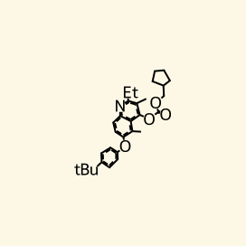 CCc1nc2ccc(Oc3ccc(C(C)(C)C)cc3)c(C)c2c(OC(=O)OCC2CCCC2)c1C